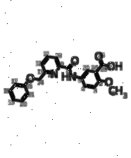 COc1ccc(NC(=O)c2cccc(COc3ccccc3)n2)cc1C(=O)O